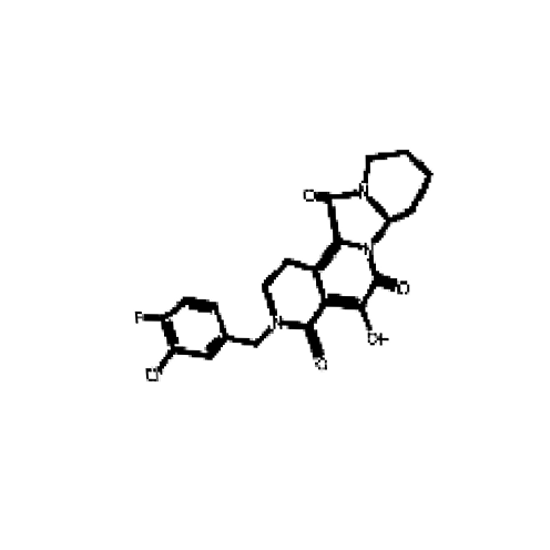 O=C1c2c(c3n(c(=O)c2O)C2CCCCN2C3=O)CCN1Cc1ccc(F)c(Cl)c1